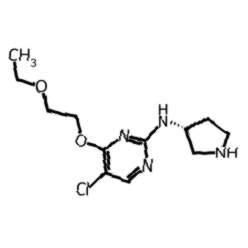 CCOCCOc1nc(N[C@@H]2CCNC2)ncc1Cl